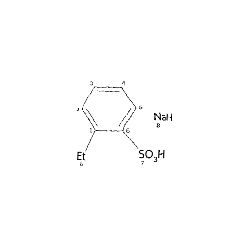 [CH2]Cc1ccccc1S(=O)(=O)O.[NaH]